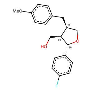 COc1ccc(C[C@H]2CO[C@H](c3ccc(F)cc3)[C@H]2CO)cc1